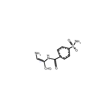 N/C=C(/C=O)NC(=O)c1ccc(S(N)(=O)=O)cc1